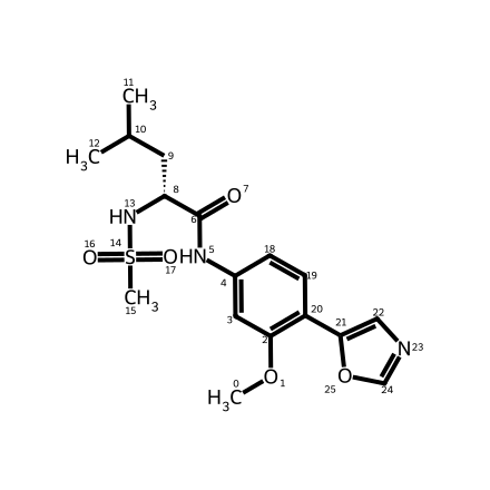 COc1cc(NC(=O)[C@@H](CC(C)C)NS(C)(=O)=O)ccc1-c1cnco1